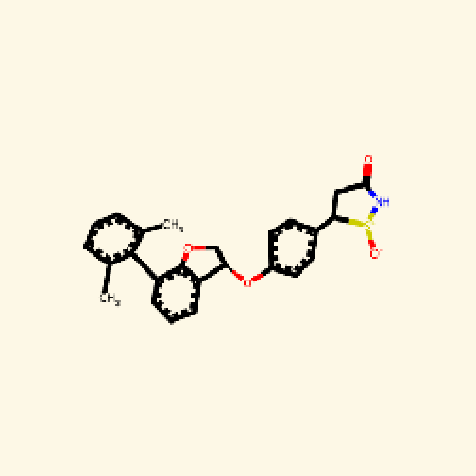 Cc1cccc(C)c1-c1cccc2c1OC[C@H]2Oc1ccc(C2CC(=O)N[S+]2[O-])cc1